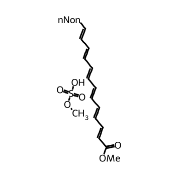 CCCCCCCCCC=CC=CC=CC=CC=CC=CC(=O)OC.COS(=O)(=O)O